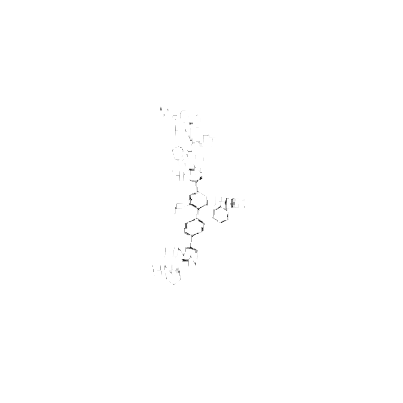 COC(=O)N[C@H](C(=O)N1CCC[C@H]1c1ncc(-c2cc(F)c(-c3ccc(-c4cnc([C@@H]5CCCN5)[nH]4)cc3)c(-c3ccccc3)c2)[nH]1)C(C)C.Cl.Cl.Cl